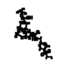 CCS(=O)(=O)c1ccc(CNC(=O)c2cc3c(s2)C2(CCN(C(O)OC(C)(C)C)CC2)O[C@@H](C)C3)nc1